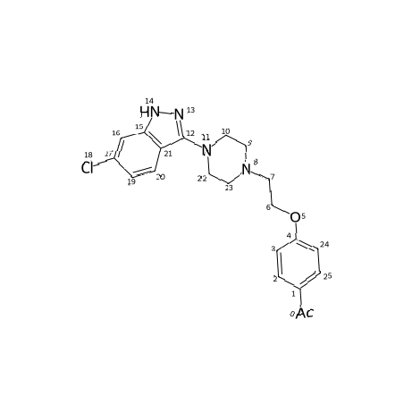 CC(=O)c1ccc(OCCN2CCN(c3n[nH]c4cc(Cl)ccc34)CC2)cc1